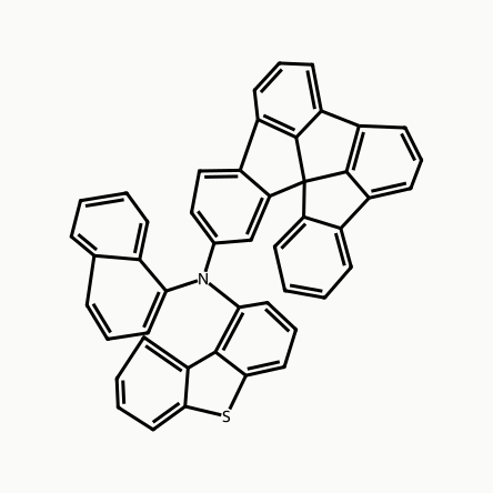 c1ccc2c(c1)-c1cccc3c1C21c2cc(N(c4cccc5ccccc45)c4cccc5sc6ccccc6c45)ccc2-c2cccc-3c21